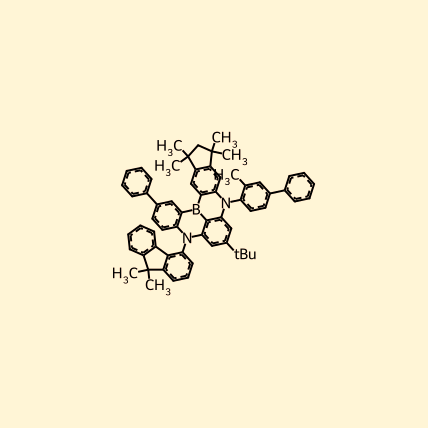 Cc1cc(-c2ccccc2)ccc1N1c2cc3c(cc2B2c4cc(-c5ccccc5)ccc4N(c4cccc5c4-c4ccccc4C5(C)C)c4cc(C(C)(C)C)cc1c42)C(C)(C)CC3(C)C